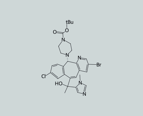 Cn1cncc1C(C)(O)C1=Cc2cc(Br)cnc2[C@@H](N2CCN(C(=O)OC(C)(C)C)CC2)c2ccc(Cl)cc21